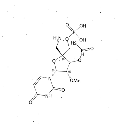 CO[C@H]1C(O[PH](=O)S)[C@@](CN)(COP(=O)(O)O)O[C@H]1n1ccc(=O)[nH]c1=O